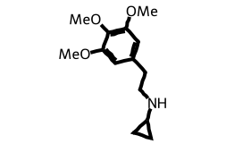 COc1cc(CCNC2CC2)cc(OC)c1OC